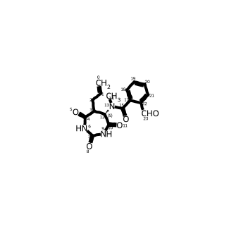 C=CCC1C(=O)NC(=O)NC(=O)[C@H]1N(C)C(=O)c1ccccc1C=O